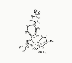 NC(=O)[C@@H]1C[C@@H](F)CC[C@H]1c1nc(C(F)F)sc1-c1ccc(N2CCS(=O)(=O)CC2)cc1